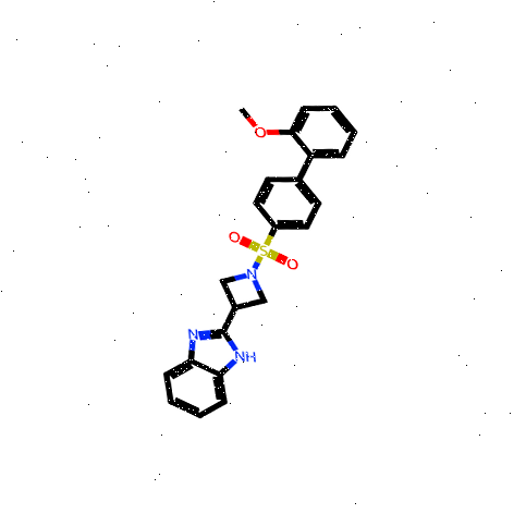 COc1ccccc1-c1ccc(S(=O)(=O)N2CC(c3nc4ccccc4[nH]3)C2)cc1